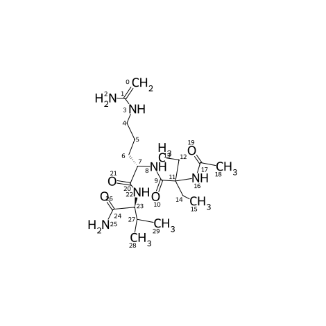 C=C(N)NCCC[C@H](NC(=O)C(CC)(CC)NC(C)=O)C(=O)N[C@H](C(N)=O)C(C)C